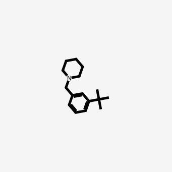 CC(C)(C)c1cccc(CN2CCCCC2)c1